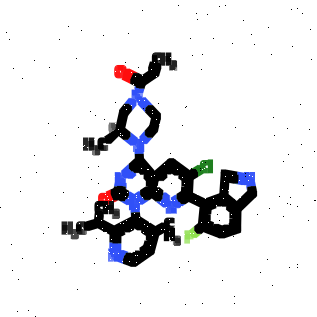 C=CC(=O)N1CCN(c2nc(=O)n(-c3c(C)ccnc3C(C)C)c3nc(-c4c(F)ccc5c4C=NC5)c(Cl)cc23)[C@@H](C)C1